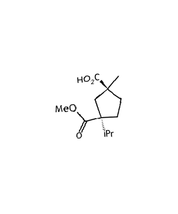 COC(=O)[C@]1(C(C)C)CC[C@](C)(C(=O)O)C1